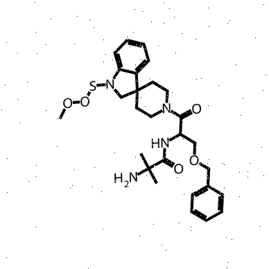 COOSN1CC2(CCN(C(=O)C(COCc3ccccc3)NC(=O)C(C)(C)N)CC2)c2ccccc21